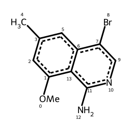 COc1cc(C)cc2c(Br)cnc(N)c12